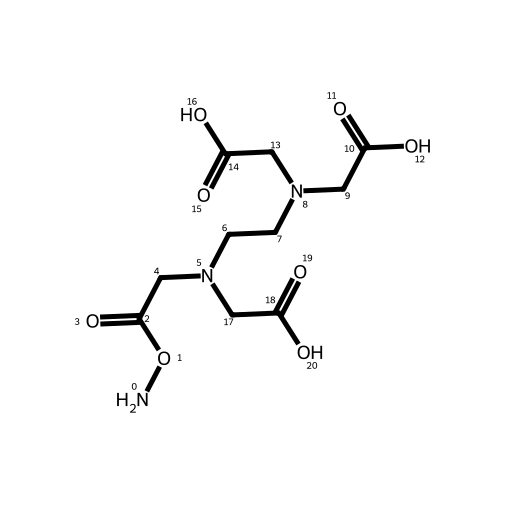 NOC(=O)CN(CCN(CC(=O)O)CC(=O)O)CC(=O)O